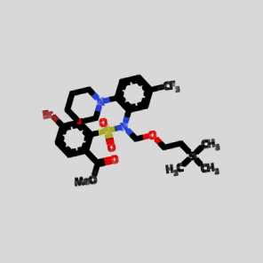 COC(=O)c1ccc(Br)cc1S(=O)(=O)N(COCC[Si](C)(C)C)c1cc(C(F)(F)F)ccc1N1CCCCC1